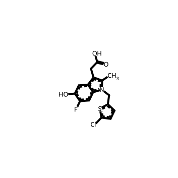 Cc1c(CC(=O)O)c2cc(O)c(F)cc2n1Cc1ccc(Cl)s1